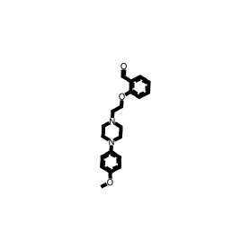 COc1ccc(N2CCN(CCOc3ccccc3C=O)CC2)cc1